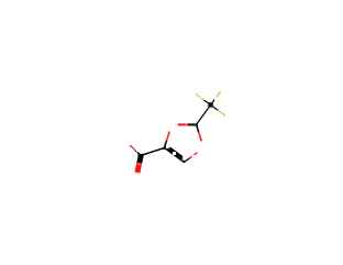 O=C(O)C1=COC(C(F)(F)F)O1